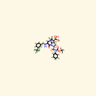 CC(C)(C)OC(=O)N(C(=O)[C@@H]1C[C@](C)(C(C(=O)O)C(C)(C)C)c2ncc(NCc3cccc(C(F)(F)F)c3)c(=O)n21)c1ccccc1